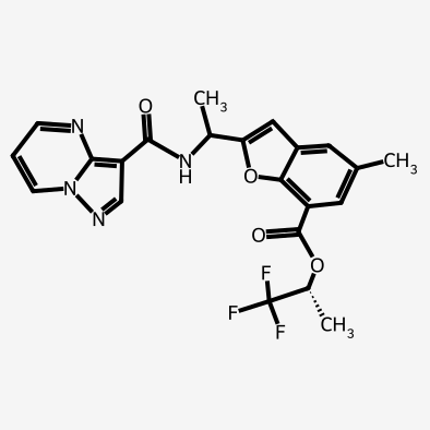 Cc1cc(C(=O)O[C@H](C)C(F)(F)F)c2oc(C(C)NC(=O)c3cnn4cccnc34)cc2c1